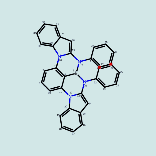 c1ccc(N2B3c4c(cccc4-n4c(cc5ccccc54)N3c3ccccc3)-n3c2cc2ccccc23)cc1